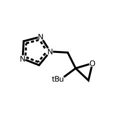 CC(C)(C)C1(Cn2cncn2)CO1